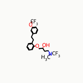 CN(CC[C@H](O)COc1ccccc1CCc1cccc(OC(F)(F)F)c1)C(F)(F)F